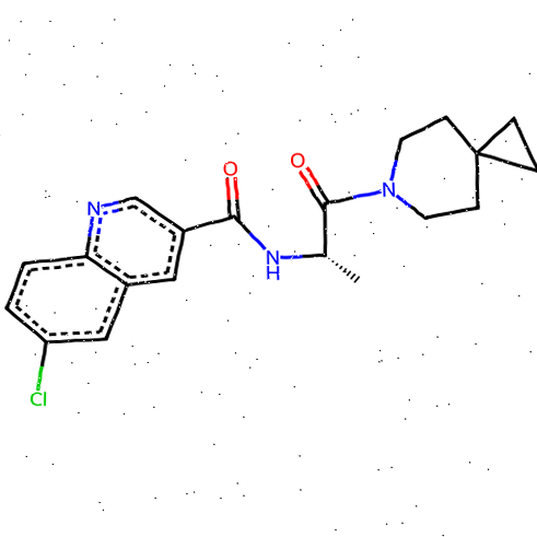 C[C@H](NC(=O)c1cnc2ccc(Cl)cc2c1)C(=O)N1CCC2(CC1)CC2